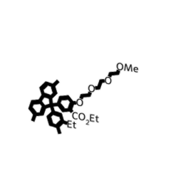 CCOC(=O)c1cc(C2(c3ccc(C)c(CC)c3)c3cc(C)ccc3-c3ccc(C)cc32)ccc1OCCOCCOCCOC